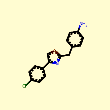 Nc1ccc(Cc2nc(-c3ccc(Cl)cc3)cs2)cc1